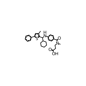 Cc1cc(-c2ccccc2)sc1C(Nc1ccc(C(=O)N(C)CCC(=O)O)cc1)C1CCCCC1